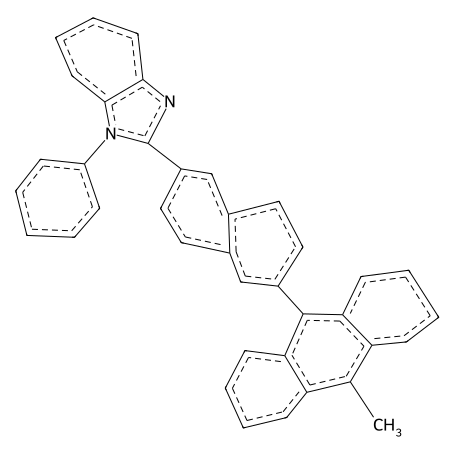 Cc1c2ccccc2c(-c2ccc3cc(-c4nc5ccccc5n4-c4ccccc4)ccc3c2)c2ccccc12